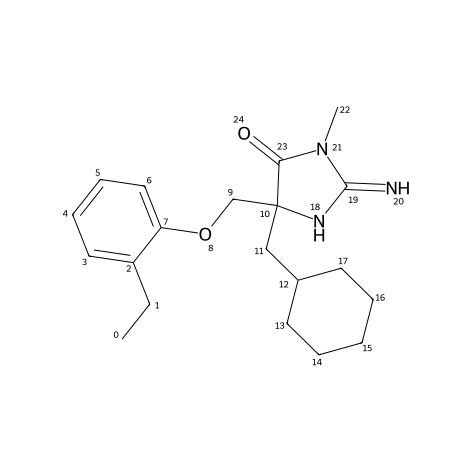 CCc1ccccc1OCC1(CC2CCCCC2)NC(=N)N(C)C1=O